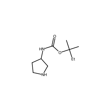 CCC(C)(C)OC(=O)NC1CCNC1